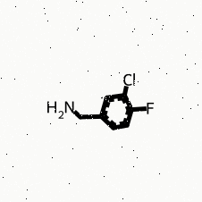 NCc1[c]c(Cl)c(F)cc1